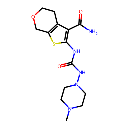 CN1CCN(NC(=O)Nc2sc3c(c2C(N)=O)CCOC3)CC1